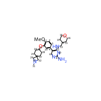 COc1ccc(-c2cnc(N)nc2NCC2CCOCC2)cc1OC1CCC2(CC1)CN(C)C2